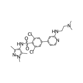 Cc1nn(C)c(C)c1NS(=O)(=O)c1c(Cl)cc(-c2ccnc(NCCN(C)C)c2)cc1Cl